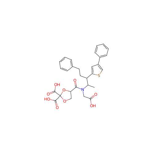 CC(C(CCc1ccccc1)c1cc(-c2ccccc2)cs1)N(CC(=O)O)C(=O)C1COC(C(=O)O)(C(=O)O)O1